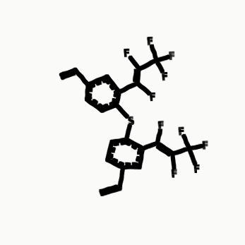 C=Cc1ccc(Sc2ccc(C=C)cc2C(F)=C(F)C(F)(F)F)c(C(F)=C(F)C(F)(F)F)c1